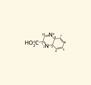 O=C(O)C1=NC2C=CC=CC2N=C1